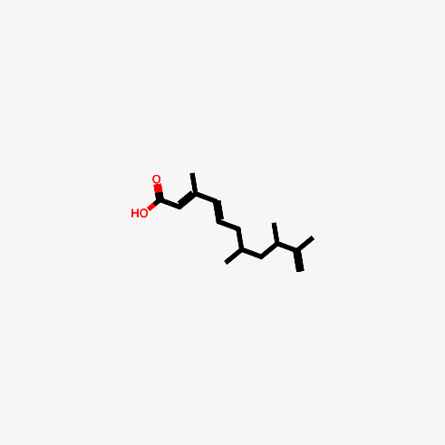 C=C(C)C(C)CC(C)CC=CC(C)=CC(=O)O